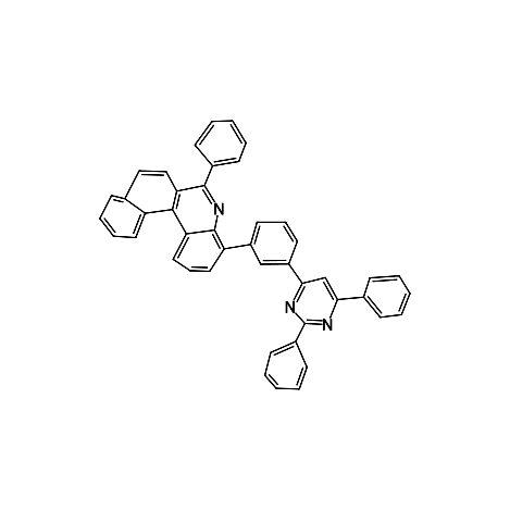 c1ccc(-c2cc(-c3cccc(-c4cccc5c4nc(-c4ccccc4)c4ccc6ccccc6c45)c3)nc(-c3ccccc3)n2)cc1